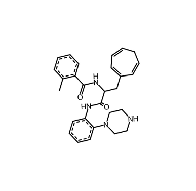 Cc1ccccc1C(=O)NC(CC1=CC=CCC=C1)C(=O)Nc1ccccc1N1CCNCC1